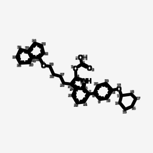 O=C(O)Oc1[nH]c2c(-c3ccc(OC4CCCCC4)cc3)cccc2c1CCCCOc1cccc2ccccc12